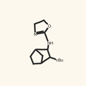 CCCCC1C2CCC(C2)C1NC1=NCCO1